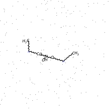 CCCCCCCC/C=C\CCCCCCCCOCCCCN(CCO)CCCCOCCCCCCCC/C=C\CCCCCCCC